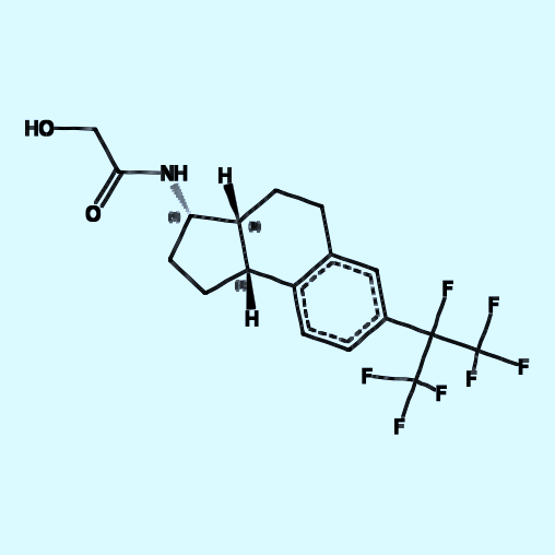 O=C(CO)N[C@H]1CC[C@H]2c3ccc(C(F)(C(F)(F)F)C(F)(F)F)cc3CC[C@@H]12